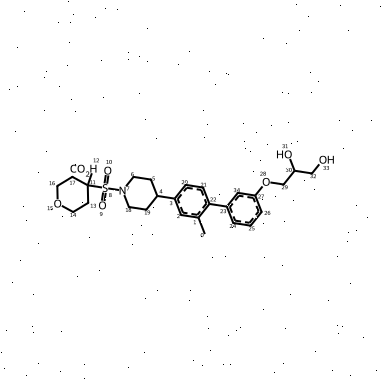 Cc1cc(C2CCN(S(=O)(=O)C3(C(=O)O)CCOCC3)CC2)ccc1-c1cccc(OCC(O)CO)c1